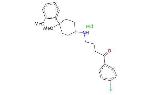 COc1ccccc1C1(OC)CCC(NCCCC(=O)c2ccc(F)cc2)CC1.Cl